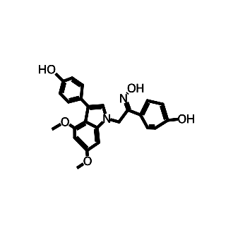 COc1cc(OC)c2c(-c3ccc(O)cc3)cn(CC(=NO)c3ccc(O)cc3)c2c1